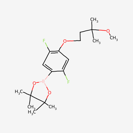 COC(C)(C)CCOc1cc(F)c(B2OC(C)(C)C(C)(C)O2)cc1F